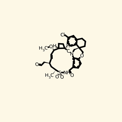 CO[C@H]1/C=C/[C@H](CC=O)C[C@@H](C)S(=O)(=O)NC(=O)c2ccc3c(c2)N(C[C@@H]2CC[C@H]21)C[C@@]1(CCCc2cc(Cl)ccc21)CO3